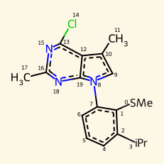 CSc1c(C(C)C)cccc1-n1cc(C)c2c(Cl)nc(C)nc21